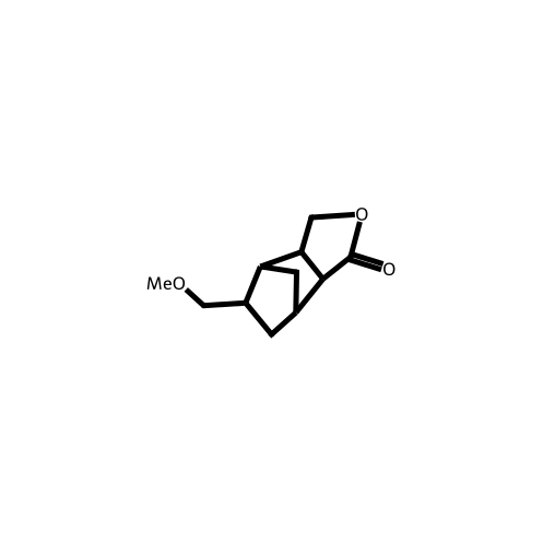 COCC1CC2CC1C1COC(=O)C21